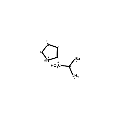 C1CSCN1.CCC(C)C(N)C(=O)O